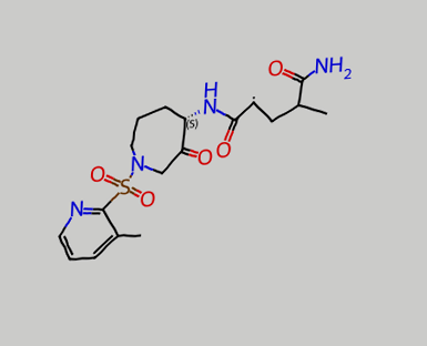 Cc1cccnc1S(=O)(=O)N1CCC[C@H](NC(=O)[CH]CC(C)C(N)=O)C(=O)C1